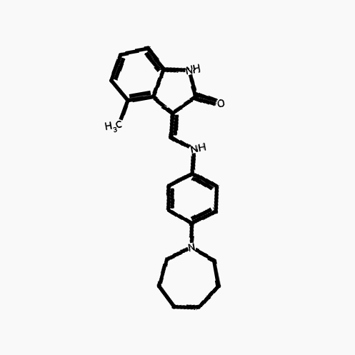 Cc1cccc2c1C(=CNc1ccc(N3CCCCCC3)cc1)C(=O)N2